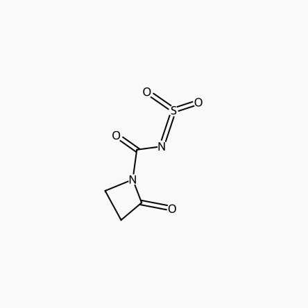 O=C1CCN1C(=O)N=S(=O)=O